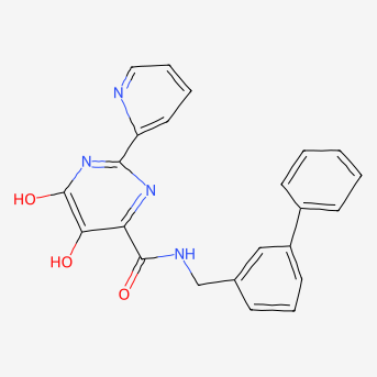 O=C(NCc1cccc(-c2ccccc2)c1)c1nc(-c2ccccn2)nc(O)c1O